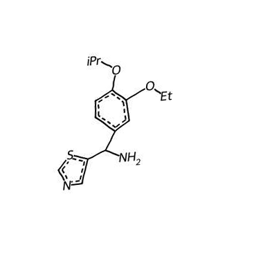 CCOc1cc(C(N)c2cncs2)ccc1OC(C)C